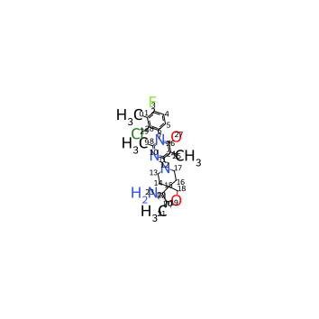 Cc1c(F)ccc(-n2c(C)nc(N3CCC4(CC3)CO[C@H](C)[C@@H]4N)c(C)c2=O)c1Cl